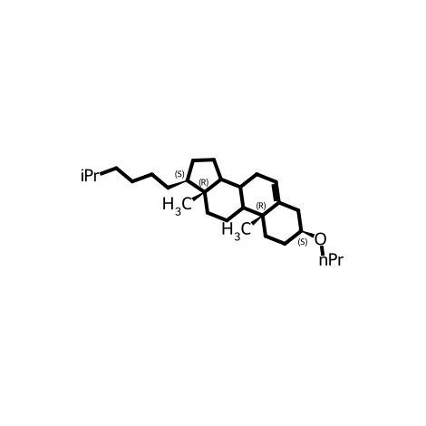 CCCO[C@H]1CC[C@@]2(C)C(=CCC3C2CC[C@@]2(C)C3CC[C@@H]2CCCCC(C)C)C1